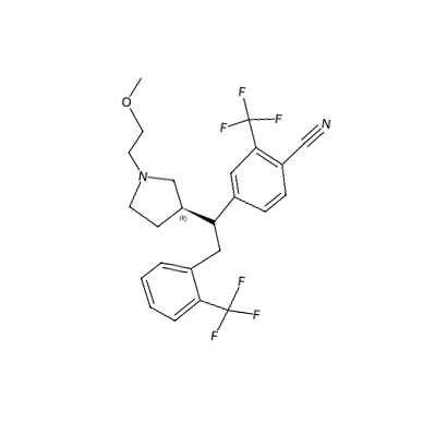 COCCN1CC[C@H](C(Cc2ccccc2C(F)(F)F)c2ccc(C#N)c(C(F)(F)F)c2)C1